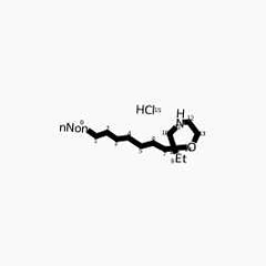 CCCCCCCCCCCCCCCCC1(CC)CNCCO1.Cl